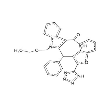 CCCCn1c(C(c2ccccc2)c2c(-c3nnn[nH]3)oc3ccccc23)c(C(=O)O)c2ccccc21